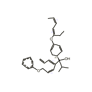 C=C/C=C(\C=C/COc1ccccc1)C(O)(C(C)C)[C@@H]1C=CC(O/C(=C/C=C\C)CC)=CC1